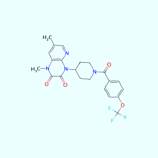 Cc1cnc2c(c1)n(C)c(=O)c(=O)n2C1CCN(C(=O)c2ccc(OC(F)(F)F)cc2)CC1